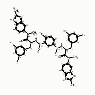 Cc1nc2cc(N(C)C(=O)[C@H](Cc3cc(F)cc(F)c3)N[S+]([O-])c3ccc(F)c([S+]([O-])N[C@@H](Cc4cc(F)cc(F)c4)C(=O)N(C)c4ccc5sc(C)nc5c4)c3)ccc2s1